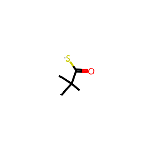 CC(C)(C)C(=O)[S]